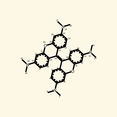 CN(C)c1ccc2c(c1)Oc1cc(N(C)C)ccc1C2=C1c2ccc(N(C)C)cc2Oc2cc(N(C)C)ccc21